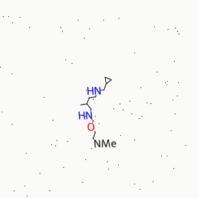 CNCCOCNCC(C)CCNCC1CC1